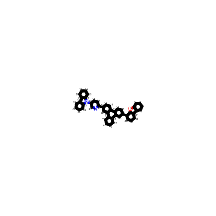 c1ccc2c(c1)oc1c(-c3ccc4c5ccc(-c6ccc(-n7c8ccccc8c8ccccc87)cn6)cc5c5ccccc5c4c3)cccc12